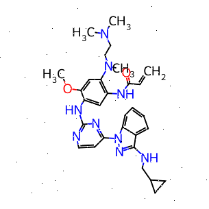 C=CC(=O)Nc1cc(Nc2nccc(-n3nc(NCC4CC4)c4ccccc43)n2)c(OC)cc1N(C)CCN(C)C